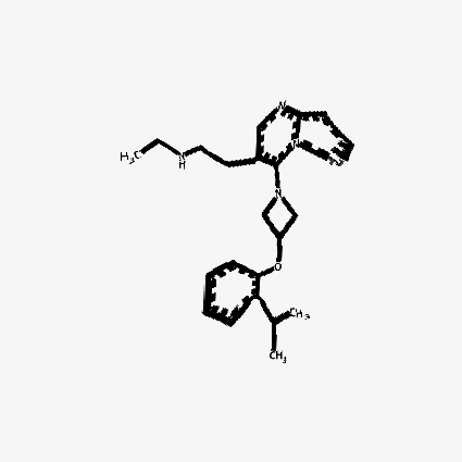 CCNCCc1cnc2ccnn2c1N1CC(Oc2ccccc2C(C)C)C1